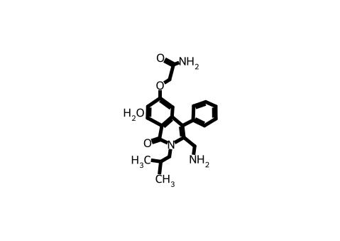 CC(C)Cn1c(CN)c(-c2ccccc2)c2cc(OCC(N)=O)ccc2c1=O.O